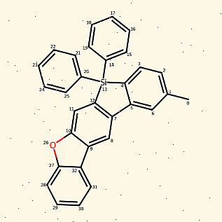 Cc1ccc2c(c1)-c1cc3c(cc1[Si]2(c1ccccc1)c1ccccc1)oc1ccccc13